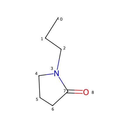 [CH2]CCN1CCCC1=O